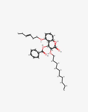 CCC=CCCOc1cccc2oc(=O)c(OCCCCCCCCCC)c(OC(=O)c3ccccc3)c12